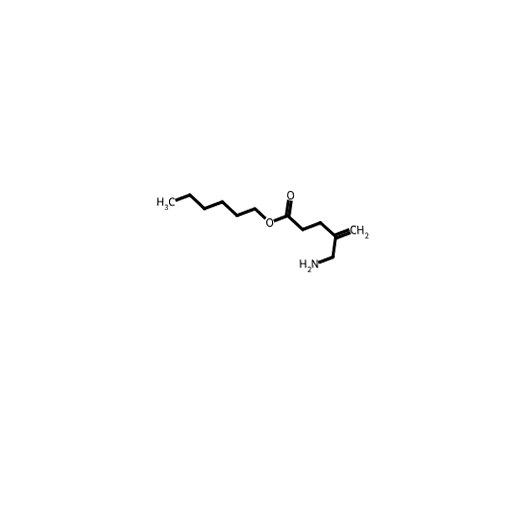 C=C(CN)CCC(=O)OCCCCCC